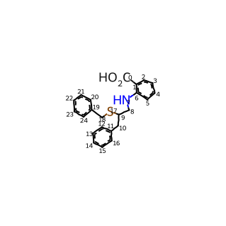 O=C(O)c1ccccc1NCC(Cc1ccccc1)SCc1ccccc1